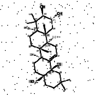 CC1(C)CC[C@]2(C(=O)O)CC[C@]3(C)C(=CC[C@@H]4[C@@]5(C)C[C@@H](O)[C@H](O)C(C)(C)[C@@H]5CC[C@]43C)[C@]2(O)C1